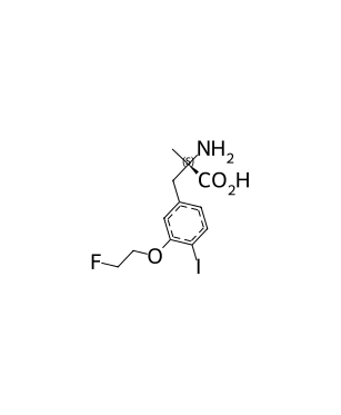 C[C@](N)(Cc1ccc(I)c(OCCF)c1)C(=O)O